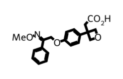 CO/N=C(/COc1ccc(C2(CC(=O)O)COC2)cc1)c1ccccc1